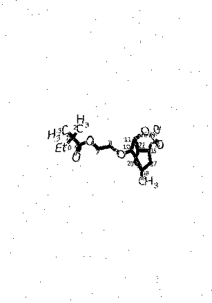 CCC(C)(C)C(=O)OCCOC1C2OS(=O)(=O)C3CC1(C)CC23